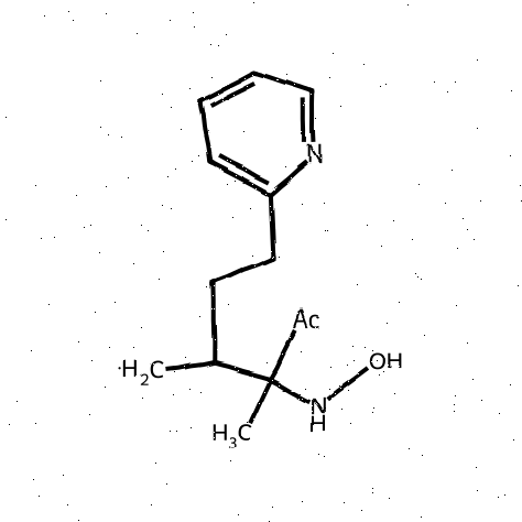 [CH2]C(CCc1ccccn1)C(C)(NO)C(C)=O